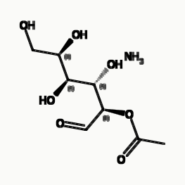 CC(=O)O[C@@H](C=O)[C@@H](O)[C@@H](O)[C@H](O)CO.N